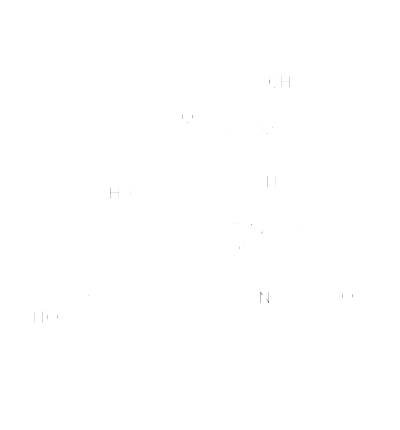 COC(=O)[C@@H]1[C@@H](C)CC23c4ccc(O)cc4CCN2C(=O)C[C@@H]13